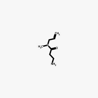 C=CCN(C)C(=O)CCN